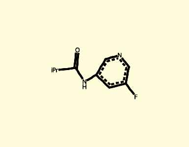 CC(C)C(=O)Nc1cncc(F)c1